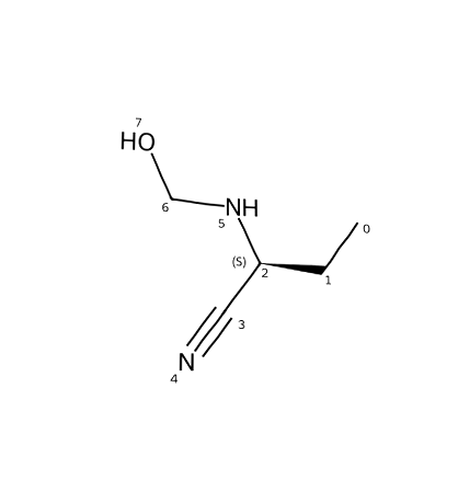 CC[C@@H](C#N)NCO